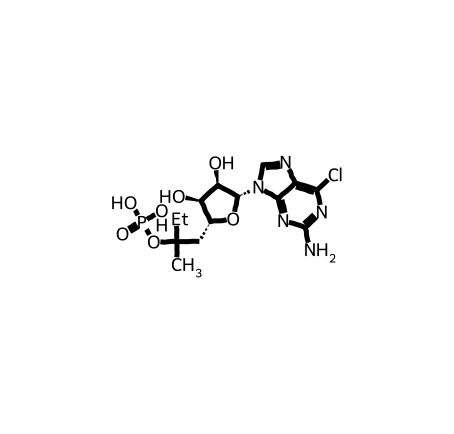 CCC(C)(C[C@H]1O[C@@H](n2cnc3c(Cl)nc(N)nc32)[C@H](O)[C@@H]1O)OP(=O)(O)O